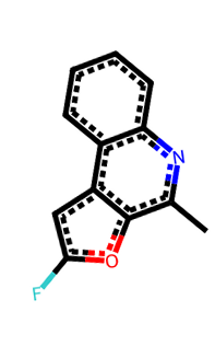 Cc1nc2ccccc2c2cc(F)oc12